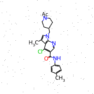 CC(=O)N1CCC(Cn2cc(C)c3c(Cl)c(C(=O)Nc4ccc(C)cc4)cnc32)CC1